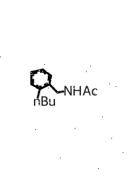 CCCCc1ccccc1CNC(C)=O